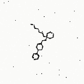 CCCCCCCC1(CCC2CCC(c3ccccc3)CC2)CCCCC1